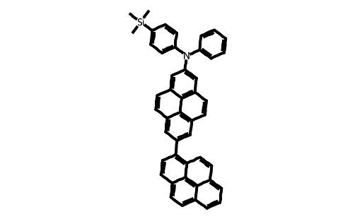 C[Si](C)(C)c1ccc(N(c2ccccc2)c2cc3ccc4cc(-c5ccc6ccc7cccc8ccc5c6c78)cc5ccc(c2)c3c45)cc1